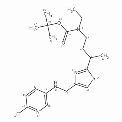 CCN(CCC(C)c1nc(CNc2ccc(F)nc2)cs1)C(=O)OC(C)(C)C